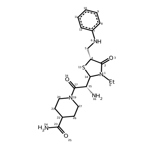 CCN1C(=O)[C@@H](CNc2ccccc2)SC1[C@H](N)C(=O)N1CCC(C(N)=O)CC1